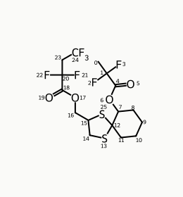 CC(F)(F)C(=O)OC1CCCCC12SCC(COC(=O)C(F)(F)CC(F)(F)F)S2